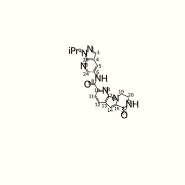 CC(C)n1ncc2cc(NC(=O)c3ccc4cc5n(c4n3)CCNC5=O)cnc21